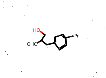 CC(C)c1ccc(CC(C=O)CO)cc1